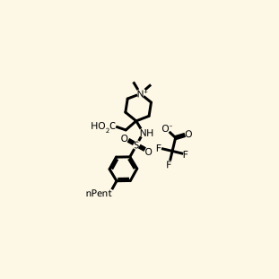 CCCCCc1ccc(S(=O)(=O)NC2(CC(=O)O)CC[N+](C)(C)CC2)cc1.O=C([O-])C(F)(F)F